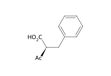 CC(=O)[C@H](Cc1ccccc1)C(=O)O